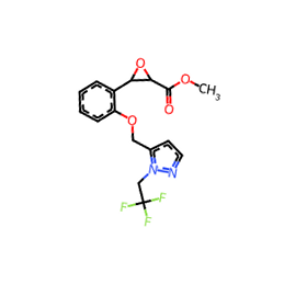 COC(=O)C1OC1c1ccccc1OCc1ccnn1CC(F)(F)F